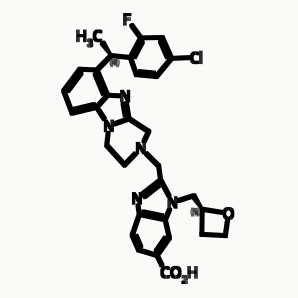 C[C@@H](c1ccc(Cl)cc1F)c1cccc2c1nc1n2CCN(Cc2nc3ccc(C(=O)O)cc3n2C[C@@H]2CCO2)C1